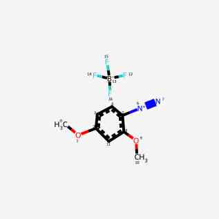 COc1ccc([N+]#N)c(OC)c1.F[B-](F)(F)F